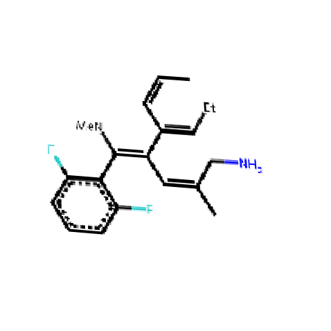 C\C=C/C(=C\CC)C(/C=C(/C)CN)=C(\NC)c1c(F)cccc1F